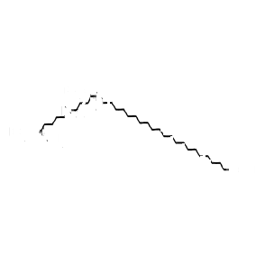 N[C@@H](CCCCNC(=O)CC[C@H](NC(=O)CCCCCCCCCCCCCCCCCCCCC(=O)O)C(=O)O)C(=O)O